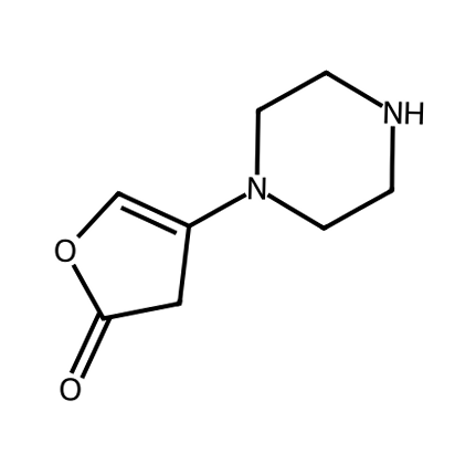 O=C1CC(N2CCNCC2)=CO1